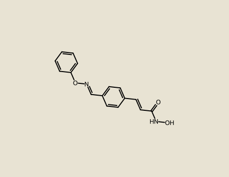 O=C(C=Cc1ccc(C=NOc2ccccc2)cc1)NO